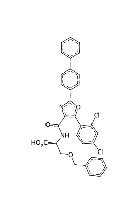 O=C(N[C@@H](COCc1ccccc1)C(=O)O)c1nc(-c2ccc(-c3ccccc3)cc2)oc1-c1ccc(Cl)cc1Cl